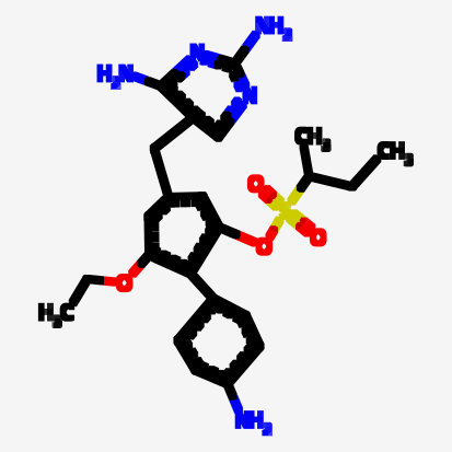 CCOc1cc(Cc2cnc(N)nc2N)cc(OS(=O)(=O)C(C)CC)c1-c1ccc(N)cc1